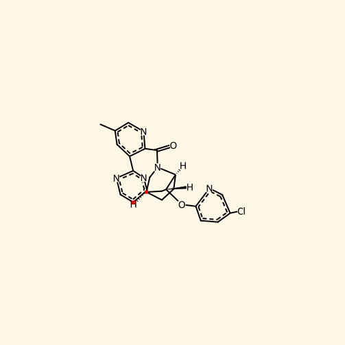 Cc1cnc(C(=O)N2C[C@@H]3CC[C@H]2[C@H](Oc2ccc(Cl)cn2)C3)c(-c2ncccn2)c1